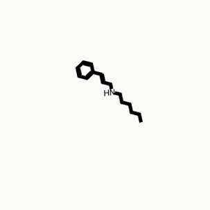 CCCCCCNCC=Cc1ccccc1